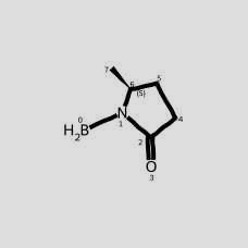 BN1C(=O)CC[C@@H]1C